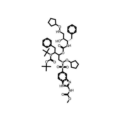 COC(=O)Nc1nc2cc(S(=O)(=O)N(CC(OC(=O)N[C@@H](Cc3ccccc3)[C@@H](O)CNOC3CCCC3)C(Cc3ccccc3)N(C(=O)OC(C)(C)C)C(C)(C)C)OC3CCCC3)ccc2[nH]1